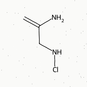 C=C(N)CNCl